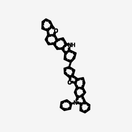 c1ccc(-n2c3ccccc3c3cc4ccc5c6cc(-c7ccc8[nH]c9cc%10c(ccc%11c%12ccccc%12oc%10%11)cc9c8c7)ccc6oc5c4cc32)cc1